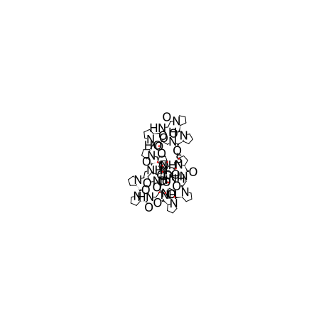 CSCC[C@H](NC(=O)[C@@H]1CCCN1C(=O)CNC(=O)[C@@H]1CCCN1C(=O)[C@@H]1CCCN1C(=O)CNC(=O)[C@@H]1CCCN1C(=O)[C@@H]1CCCN1C(=O)CNC(=O)[C@@H]1CCCN1C(=O)[C@@H]1CCCN1C(=O)CNC(=O)[C@@H]1CCCN1C(=O)[C@@H]1CCCN1)C(=O)NCC(=O)N1CCC[C@H]1C(=O)N1CCC[C@H]1C(=O)NCC(=O)N1CCC[C@H]1C(=O)N1CCC[C@H]1C(=O)NCC(=O)O